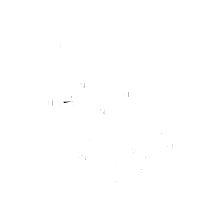 C=CCN1C[C@H](C)N([C@@H](c2cccnc2)c2cccc(O)c2S(=O)(=O)C(F)(F)F)C[C@H]1C